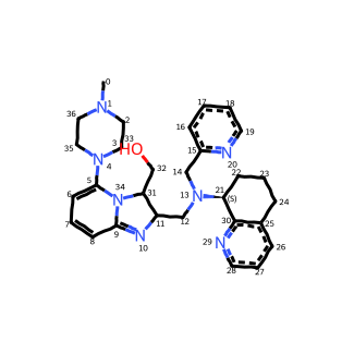 CN1CCN(C2=CC=CC3=NC(CN(Cc4ccccn4)[C@H]4CCCc5cccnc54)C(CO)N23)CC1